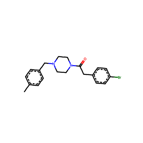 Cc1ccc(CN2CCN(C(=O)Cc3ccc(Br)cc3)CC2)cc1